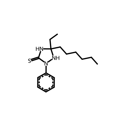 CCCCCCC1(CC)NC(=S)N(c2ccccc2)N1